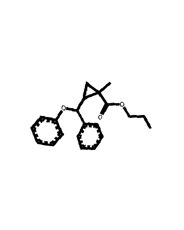 CCCOC(=O)C1(C)CC1C(Oc1ccccc1)c1ccccc1